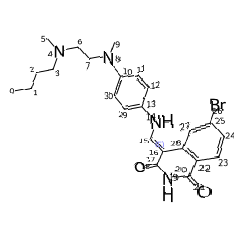 CCCCN(C)CCN(C)c1ccc(N/C=C2/C(=O)NC(=O)c3ccc(Br)cc32)cc1